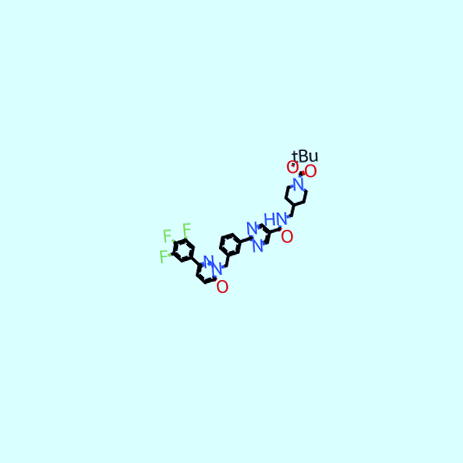 CC(C)(C)OC(=O)N1CCC(CNC(=O)c2cnc(-c3cccc(Cn4nc(-c5cc(F)c(F)c(F)c5)ccc4=O)c3)nc2)CC1